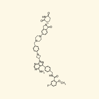 COc1ccc(F)cc1C(=O)NCc1ccc(-c2nn(C3CN(c4ccc(CN5CCN(c6ccc7c(c6)CN([C@H]6CCC(=O)NC6=O)C7=O)CC5)cc4)C3)c3ncnc(N)c23)cc1